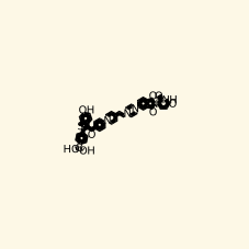 O=C1CCC(N2C(=O)c3ccc(N4CCN(CCC5CCN(c6ccc(C(=O)c7c(-c8ccc(B(O)O)cc8)sc8cc(O)ccc78)cc6)CC5)CC4)cc3C2=O)C(=O)N1